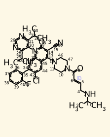 CC(C)NC/C=C/C(=O)N1CCN(c2c(C#N)c(=O)n(-c3c(C(C)C)ncnc3C(C)C)c3nc(-c4ccccc4F)c(Cl)cc23)CC1